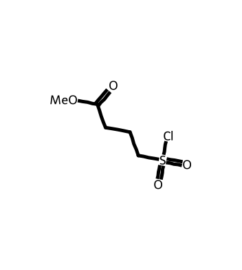 COC(=O)CCCS(=O)(=O)Cl